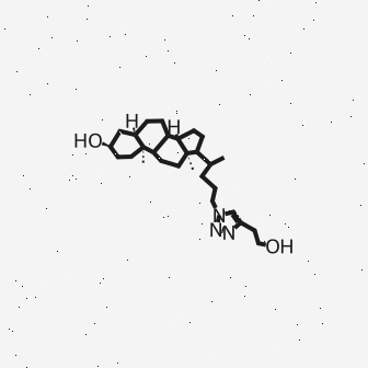 CC(CCCn1cc(CCO)nn1)C1CC[C@H]2C3CC[C@@H]4C[C@H](O)CC[C@]4(C)C3CC[C@]12C